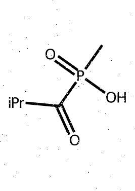 CC(C)C(=O)P(C)(=O)O